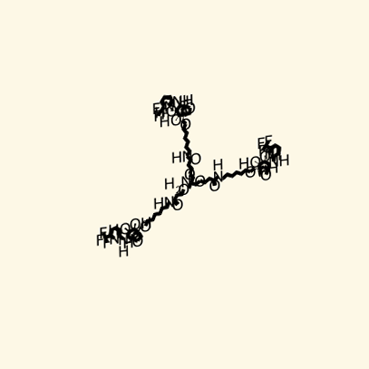 NC(COCCC(=O)NCCCCCCOC[C@@]12CO[C@@H](O1)[C@H](Nc1cccc(C(F)(F)F)n1)[C@@H](O)[C@H]2O)(COCCC(=O)NCCCCCCOC[C@@]12CO[C@@H](O1)[C@H](Nc1cccc(C(F)(F)F)n1)[C@@H](O)[C@H]2O)COCCC(=O)NCCCCCCOC[C@@]12CO[C@@H](O1)[C@H](Nc1cccc(C(F)(F)F)n1)[C@@H](O)[C@H]2O